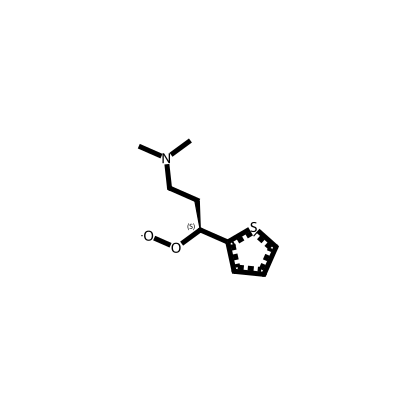 CN(C)CC[C@H](O[O])c1cccs1